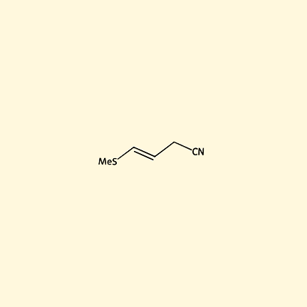 [CH2]SC=CCC#N